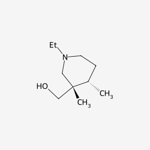 CCN1CC[C@H](C)[C@](C)(CO)C1